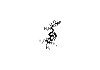 Cc1nc(-c2ccc(C[C@H](N)C(=O)OC(=O)C(F)(F)F)n3ccnc23)c(=O)n(C)c1C